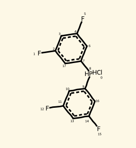 Cl.Fc1cc(F)cc(Pc2cc(F)cc(F)c2)c1